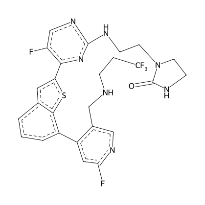 O=C1NCCN1CCNc1ncc(F)c(-c2cc3cccc(-c4cc(F)ncc4CNCCC(F)(F)F)c3s2)n1